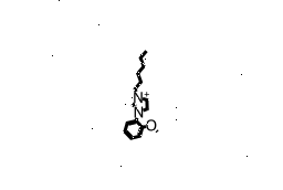 CCCCCC[N+]1=CN(c2ccccc2OC)CC1